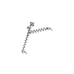 CCCCCCCCCCCCCCOCC(COC(=O)CCC(=O)O)OCCCCCCCCCCCCCC